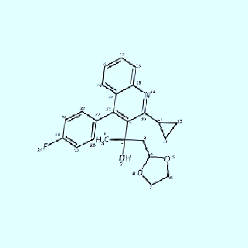 CC(O)(CC1OCCO1)c1c(C2CC2)nc2ccccc2c1-c1ccc(F)cc1